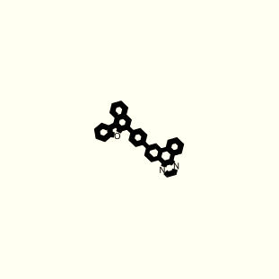 C1=CC2c3nccnc3-c3ccccc3C2C=C1c1ccc(-c2cc3ccccc3c3c2oc2ccccc23)cc1